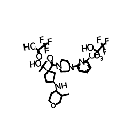 CC1COCCC1N[C@H]1CC[C@@](C(=O)N2CCN(c3cccc(C(F)(F)F)n3)CC2)(C(C)(C)O)C1.O=C(O)C(F)(F)F.O=C(O)C(F)(F)F